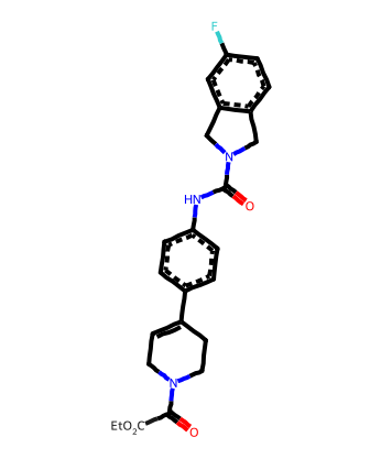 CCOC(=O)C(=O)N1CC=C(c2ccc(NC(=O)N3Cc4ccc(F)cc4C3)cc2)CC1